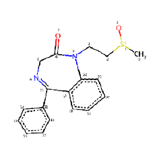 C[S+]([O-])CCN1C(=O)CN=C(c2ccccc2)c2ccccc21